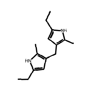 CCc1cc(Cc2cc(CC)[nH]c2C)c(C)[nH]1